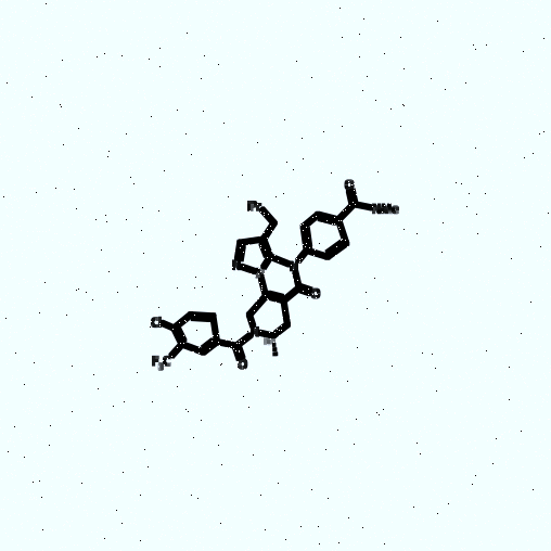 CNC(=O)c1ccc(-n2c(=O)c3c(n4ncc(CC(C)C)c24)CN(C(=O)c2ccc(Cl)c(C(F)(F)F)c2)[C@@H](C)C3)cc1